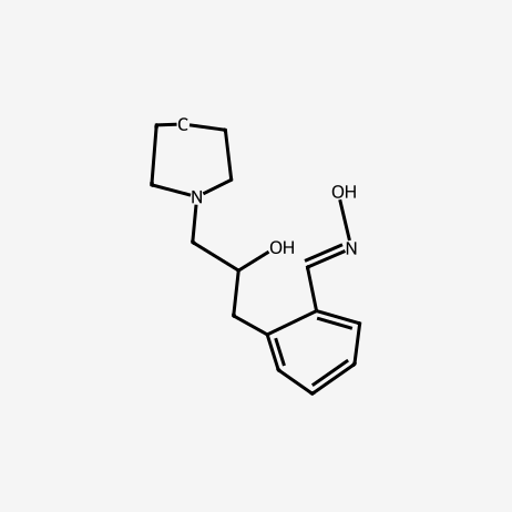 ON=Cc1ccccc1CC(O)CN1CCCCC1